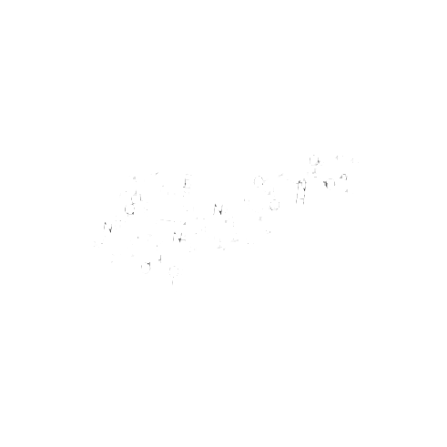 CCOC(=O)c1c(-c2cccnc2OC)c2c3occc3c(F)cc2n1Cc1cnc2cc(OC(=O)[C@H](C)NC(=O)OC(C)(C)C)ccc2c1